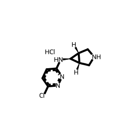 Cl.Clc1ccc(N[C@H]2[C@@H]3CNC[C@@H]32)nn1